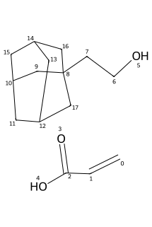 C=CC(=O)O.OCCC12CC3CC(CC(C3)C1)C2